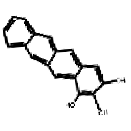 Oc1cc2cc3cc4ccccc4cc3cc2c(O)c1O